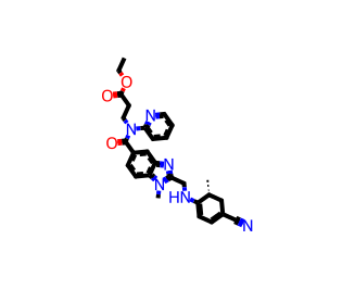 CCOC(=O)CCN(C(=O)c1ccc2c(c1)nc(CNC1=CC=C(C#N)C[C@H]1C)n2C)c1ccccn1